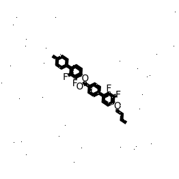 CCCCOc1ccc(-c2ccc(C(=O)Oc3ccc(C4CCC(C)CC4)c(F)c3F)cc2)c(F)c1F